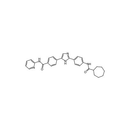 O=C(Nc1ccccn1)c1ccc(-c2cnc(-c3ccc(NC(=O)C4CCCCCC4)cc3)[nH]2)cc1